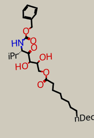 CCCCCCCCCCCCCCCCCC(=O)OCC(O)C(O)C(=O)[C@@H](NC(=O)OCc1ccccc1)C(C)C